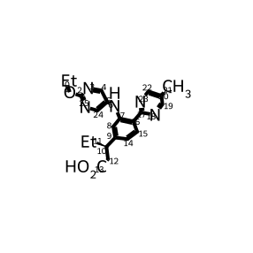 CCOc1ncc(Nc2cc([C@H](CC)CC(=O)O)ccc2-c2ncc(C)cn2)cn1